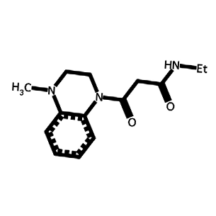 CCNC(=O)CC(=O)N1CCN(C)c2ccccc21